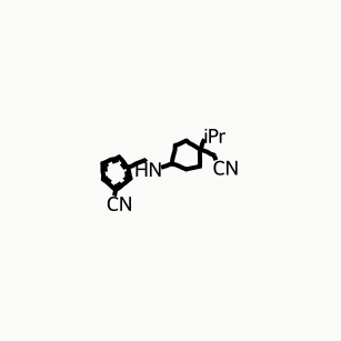 CC(C)C1(CC#N)CCC(NCc2cccc(C#N)c2)CC1